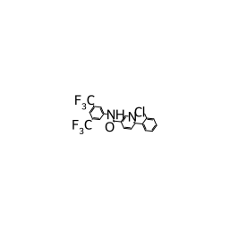 O=C(Nc1cc(C(F)(F)F)cc(C(F)(F)F)c1)c1ccc(-c2ccccc2Cl)nc1